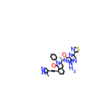 Cc1c(C#Cc2cccc3cc([C@@H](C)NC(=O)c4nc(-c5cscn5)cnc4N)n(-c4ccccc4)c(=O)c23)cnn1C